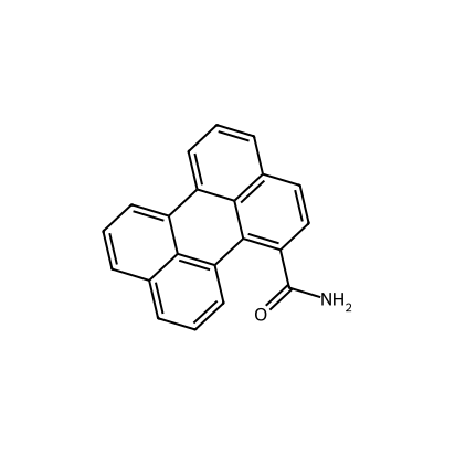 NC(=O)c1ccc2cccc3c4cccc5cccc(c1c23)c54